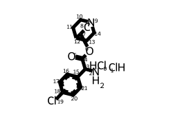 Cl.Cl.NC(C(=O)OC1CN2CCC1CC2)c1ccc(Cl)cc1